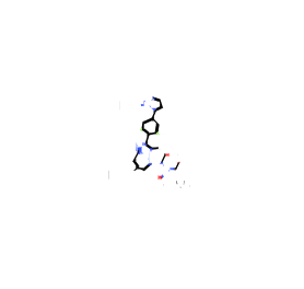 COC(=O)N1CCO[C@@H](Cc2c(-c3c(F)cc(-c4cccn4C)cc3F)nc3cc(C)ccn23)C1